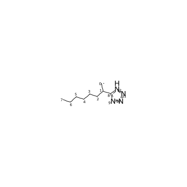 [CH2]C(CCCCCC)c1nnn[nH]1